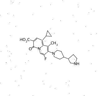 Cc1c(N2CCC(C3CCNC3)CC2)c(F)cn2c(=O)c(C(=O)O)cc(C3CC3)c12